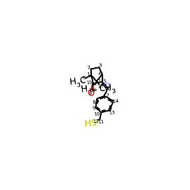 CC12CCC(/C(=C/c3ccc(CS)cc3)C1=O)C2(C)C